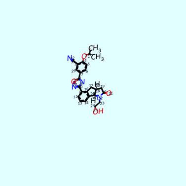 CC(C)Oc1ccc(-c2nc(-c3cccc4c3C[C@H]3CC(=O)N(CCO)[C@@H]43)no2)cc1C#N